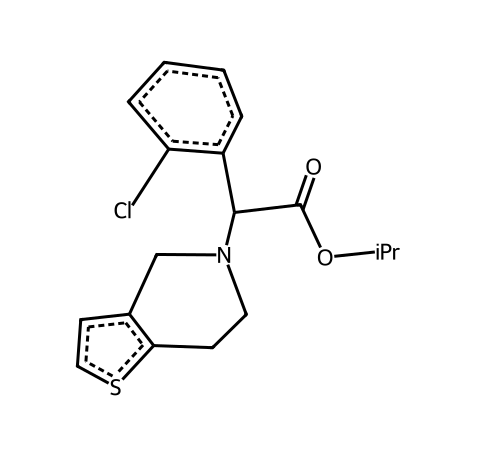 CC(C)OC(=O)C(c1ccccc1Cl)N1CCc2sccc2C1